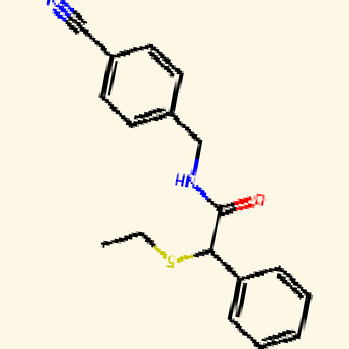 CCSC(C(=O)NCc1ccc(C#N)cc1)c1ccccc1